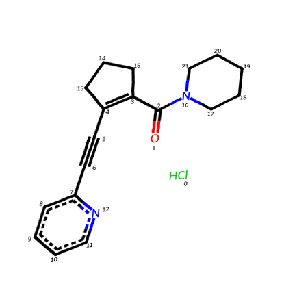 Cl.O=C(C1=C(C#Cc2ccccn2)CCC1)N1CCCCC1